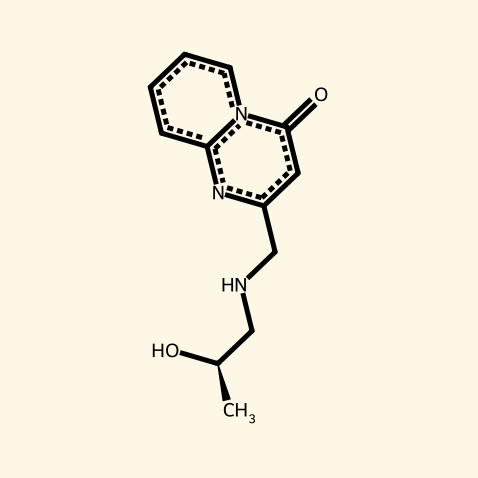 C[C@@H](O)CNCc1cc(=O)n2ccccc2n1